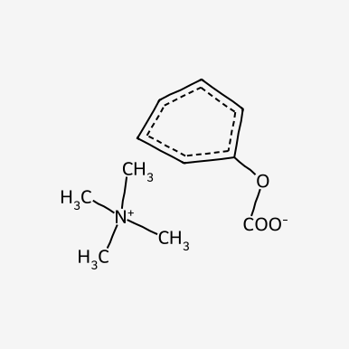 C[N+](C)(C)C.O=C([O-])Oc1ccccc1